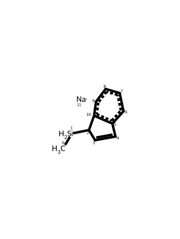 C[SiH2]C1C=Cc2ccccc21.[Na]